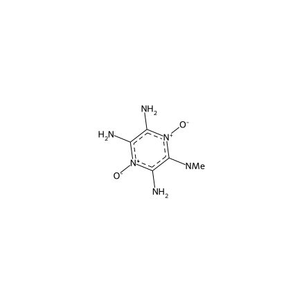 CNc1c(N)[n+]([O-])c(N)c(N)[n+]1[O-]